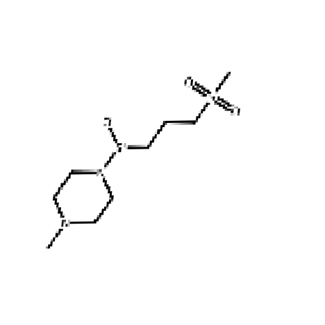 CN1CCN([S+]([O-])CCCS(C)(=O)=O)CC1